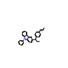 C/C=C/c1ccc(C(CC)c2ccc3c(c2)c2ccccc2n3-c2ccccc2)cc1